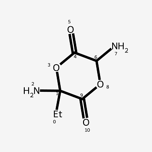 CCC1(N)OC(=O)C(N)OC1=O